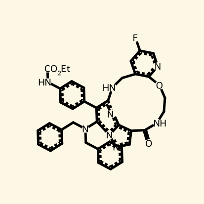 CCOC(=O)Nc1ccc(-c2c3nc4c(cnn4c2N(Cc2ccccc2)Cc2ccccc2)C(=O)NCCOc2ncc(F)cc2CN3)cc1